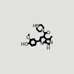 COc1cc(-c2cc(C(=O)N3CCNCC3)c3c(C)n[nH]c3n2)ccc1O